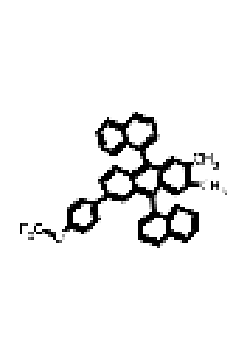 Cc1cc2c(-c3cccc4ccccc34)c3ccc(-c4ccc(OC(F)(F)F)cc4)cc3c(-c3cccc4ccccc34)c2cc1C